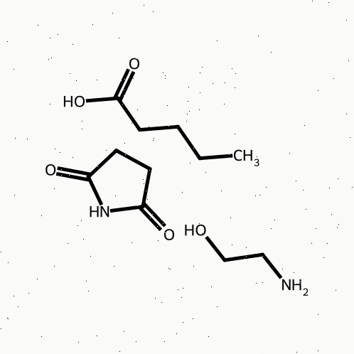 CCCCC(=O)O.NCCO.O=C1CCC(=O)N1